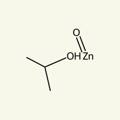 CC(C)O.[O]=[Zn]